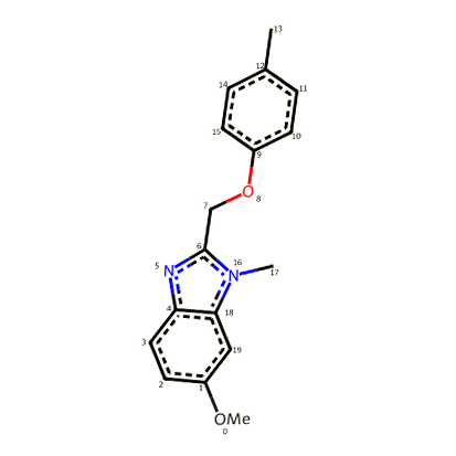 COc1ccc2nc(COc3ccc(C)cc3)n(C)c2c1